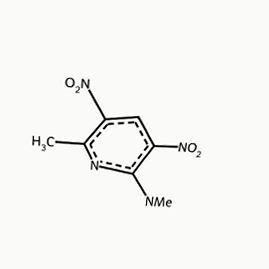 CNc1nc(C)c([N+](=O)[O-])cc1[N+](=O)[O-]